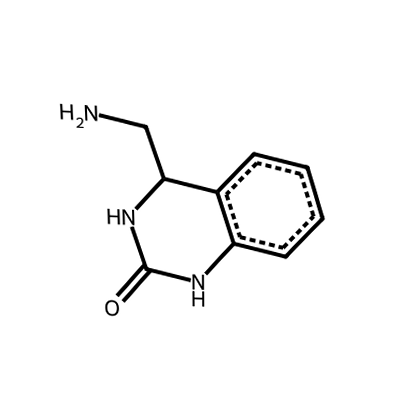 NCC1NC(=O)Nc2ccccc21